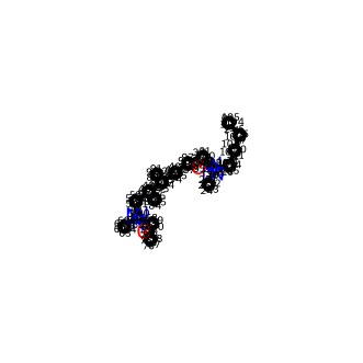 c1ccc(-c2cccc(-c3ccc(-c4cccc(-c5nc(-c6ccccc6)nc(-c6cccc7c6oc6cc(-c8ccc(-c9ccc(-c%10ccc(-c%11cccc(-c%12nc(-c%13ccccc%13)nc(-c%13cccc%14c%13oc%13ccccc%13%14)n%12)c%11)c%11ccccc%10%11)c%10ccccc9%10)cc8)ccc67)n5)c4)cc3)c2)cc1